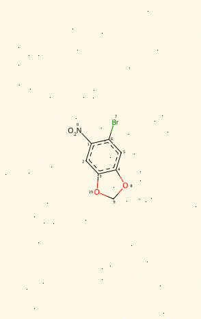 O=[N+]([O-])c1cc2c(cc1Br)OCO2